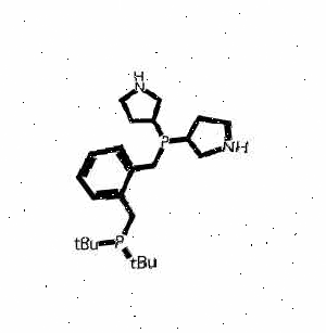 CC(C)(C)P(Cc1ccccc1CP(C1CCNC1)C1CCNC1)C(C)(C)C